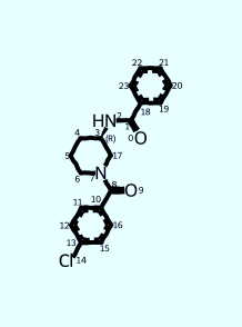 O=C(N[C@@H]1CCCN(C(=O)c2ccc(Cl)cc2)C1)c1ccccc1